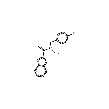 N[C@@H](Cc1ccc(F)cc1)C(=O)c1nc2ccccc2s1